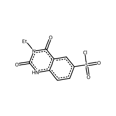 CCn1c(=O)[nH]c2ccc(S(=O)(=O)Cl)cc2c1=O